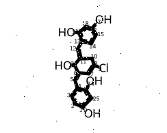 Oc1ccc(C=C2C=C(Cl)CC(=Cc3ccc(O)cc3O)C2O)c(O)c1